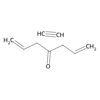 C#C.C=CCC(=O)CC=C